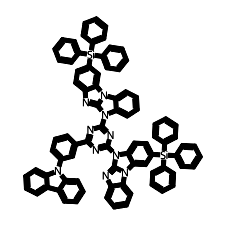 c1ccc([Si](c2ccccc2)(c2ccccc2)c2ccc3nc4n(-c5nc(-c6cccc(-n7c8ccccc8c8ccccc87)c6)nc(-n6c7ccc([Si](c8ccccc8)(c8ccccc8)c8ccccc8)cc7n7c8ccccc8nc67)n5)c5ccccc5n4c3c2)cc1